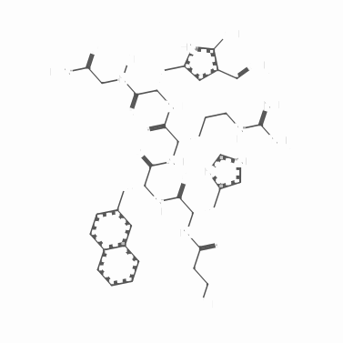 C=Cc1cc(C[C@H](NC(=O)[C@H](CCCNC(=N)N)NC(=O)[C@@H](Cc2ccc3ccccc3c2)NC(=O)[C@H](Cc2c[nH]cn2)NC(=O)CCC)C(=O)N(C)CC(N)=O)[nH]c1C